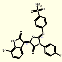 NS(=O)(=O)c1ccc(/N=C2\S/C(=C3\C(=O)Nc4c(Br)cccc43)C(=O)N2c2ccc(F)cc2)cc1